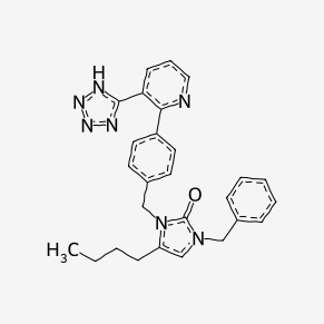 CCCCc1cn(Cc2ccccc2)c(=O)n1Cc1ccc(-c2ncccc2-c2nnn[nH]2)cc1